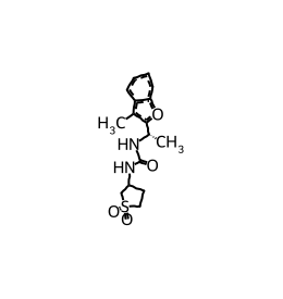 Cc1c([C@H](C)NC(=O)NC2CCS(=O)(=O)C2)oc2ccccc12